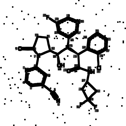 N#Cc1ccnc(N2C(=O)CCC2[C@H](O)N(c2cncc(F)c2)[C@H](C(=O)NC2CC(F)(F)C2)c2ccccc2Cl)c1